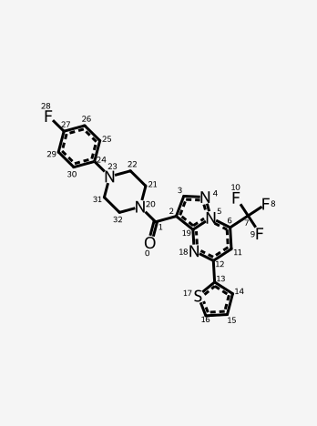 O=C(c1cnn2c(C(F)(F)F)cc(-c3cccs3)nc12)N1CCN(c2ccc(F)cc2)CC1